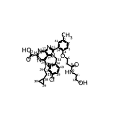 Cc1ccc(OCCC(=O)NCCO)c(-c2nc3nc(C(=O)O)nc(NCCC4CC4)c3n2Cc2ccc(Cl)cc2)c1